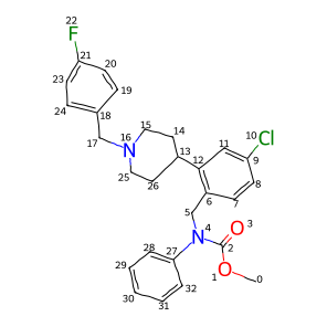 COC(=O)N(Cc1ccc(Cl)cc1C1CCN(Cc2ccc(F)cc2)CC1)c1ccccc1